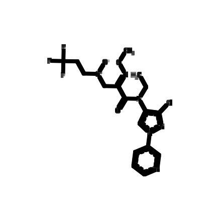 CCN(C(=O)C(C[S+]([O-])CCC(F)(F)F)=NOC)c1cn(-c2cccnc2)nc1Cl